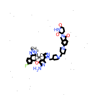 Cc1cnn(CC2CCN(CC3CCN(c4ccc5c(c4)CN(C4CCC(=O)NC4=O)C5=O)CC3)CC2)c1-c1cnc(N)c(O[C@H](C)c2cc(F)ccc2-c2cnn(C)n2)c1